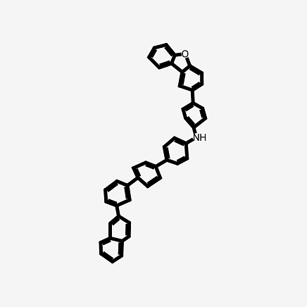 c1cc(-c2ccc(-c3ccc(Nc4ccc(-c5ccc6oc7ccccc7c6c5)cc4)cc3)cc2)cc(-c2ccc3ccccc3c2)c1